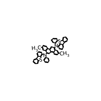 Cc1ccc2c(c1)c(N(c1ccccc1)c1cccc3c1sc1ccccc13)cc1c3ccc(C)cc3c(N(c3ccccc3)c3cccc4c3sc3ccccc34)cc21